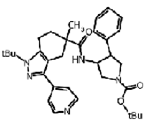 CC(C)(C)OC(=O)N1CC(NC(=O)C2(C)CCc3c(c(-c4ccncc4)nn3C(C)(C)C)C2)C(c2ccccc2)C1